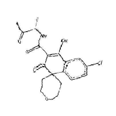 CC(=O)[C@H](C)NC(=O)C1=C(O)c2cc(Cl)ccc2C2(CCOCC2)C1=O